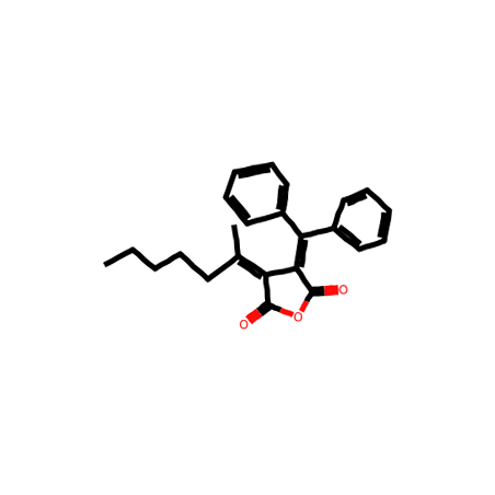 CCCCC/C(C)=C1\C(=O)OC(=O)C1=C(c1ccccc1)c1ccccc1